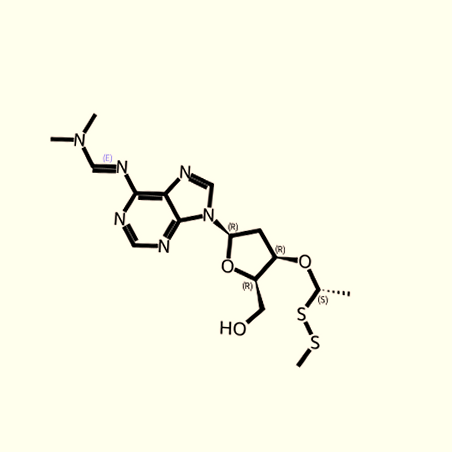 CSS[C@@H](C)O[C@@H]1C[C@H](n2cnc3c(/N=C/N(C)C)ncnc32)O[C@@H]1CO